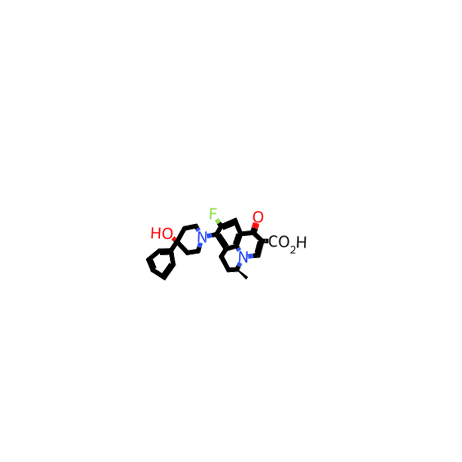 C[C@H]1CCc2c(N3CCC(O)(c4ccccc4)CC3)c(F)cc3c(=O)c(C(=O)O)cn1c23